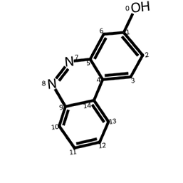 Oc1ccc2c(c1)nnc1ccccc12